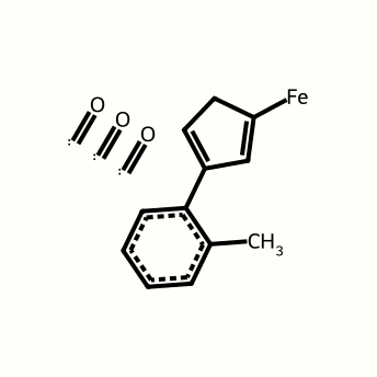 Cc1ccccc1C1=CC[C]([Fe])=C1.[C]=O.[C]=O.[C]=O